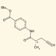 C#CC[C@H](C)C(=O)Nc1ccc(C(=O)OC(C)(C)C)cc1